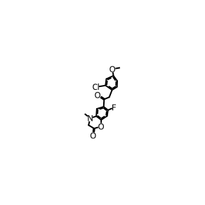 COc1ccc(CC(=O)c2cc3c(cc2F)OC(=O)CN3C)c(Cl)c1